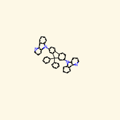 c1ccc(C2(c3ccccc3)c3cc(-n4c5ccccc5c5ncccc54)ccc3-c3ccc(-n4c5ccccc5c5ncccc54)cc32)cc1